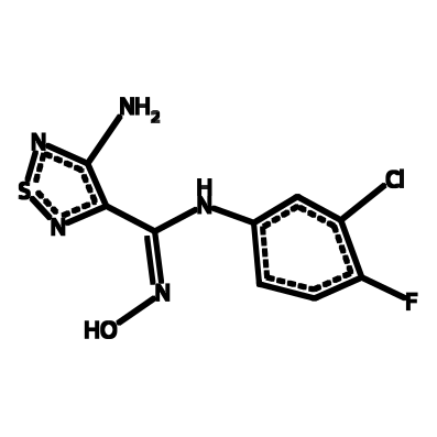 Nc1nsnc1/C(=N\O)Nc1ccc(F)c(Cl)c1